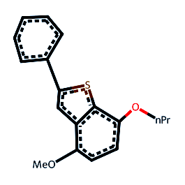 CCCOc1ccc(OC)c2cc(-c3ccccc3)sc12